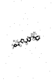 CN(C(=O)C1CC(F)(F)C1)[C@H]1CCN(C(=O)c2ccc(NC(C)(C)c3cccnc3)nc2)C1